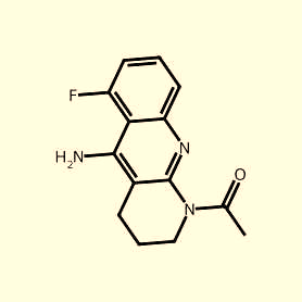 CC(=O)N1CCCc2c1nc1cccc(F)c1c2N